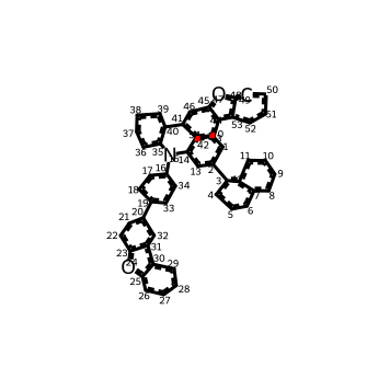 c1cc(-c2cccc3ccccc23)cc(N(c2ccc(-c3ccc4oc5ccccc5c4c3)cc2)c2ccccc2-c2ccc3c(c2)oc2ccccc23)c1